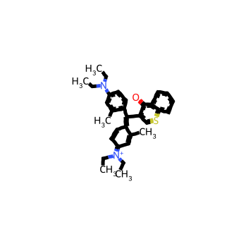 CCN(CC)c1ccc(/C(=C2\C=CC(=[N+](CC)CC)C=C2C)c2csc3ccccc3c2=O)c(C)c1